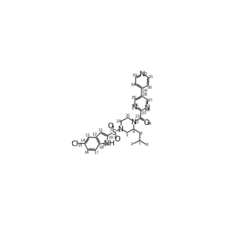 CC(C)CC1CN(S(=O)(=O)c2cc3cc(Cl)ccc3[nH]2)CCN1C(=O)c1ncc(-c2ccncc2)cn1